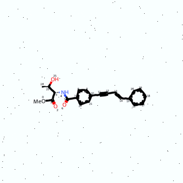 COC(=O)[C@@H](NC(=O)c1ccc(C#CC=Cc2ccccc2)cc1)[C@@H](C)O